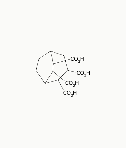 O=C(O)C1CC2CCC(C1C(=O)O)C(C(=O)O)C2C(=O)O